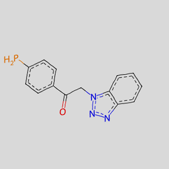 O=C(Cn1nnc2ccccc21)c1ccc(P)cc1